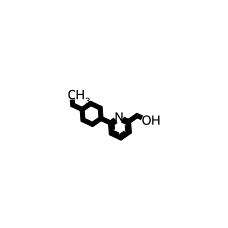 CCC1CCC(c2cccc(CO)n2)CC1